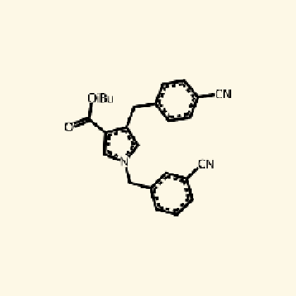 CC(C)COC(=O)c1cn(Cc2cccc(C#N)c2)cc1Cc1ccc(C#N)cc1